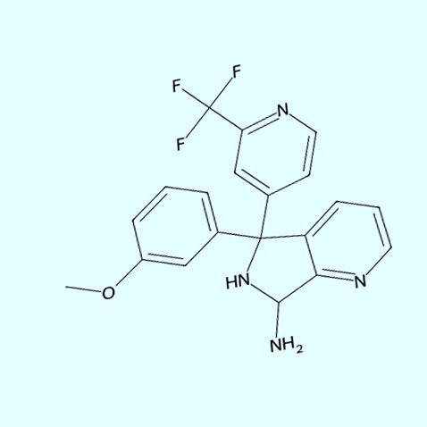 COc1cccc(C2(c3ccnc(C(F)(F)F)c3)NC(N)c3ncccc32)c1